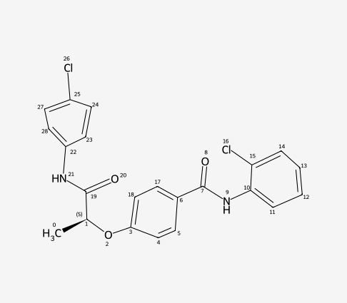 C[C@H](Oc1ccc(C(=O)Nc2ccccc2Cl)cc1)C(=O)Nc1ccc(Cl)cc1